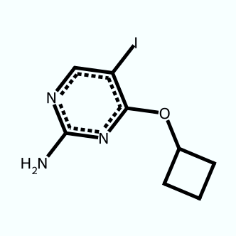 Nc1ncc(I)c(OC2CCC2)n1